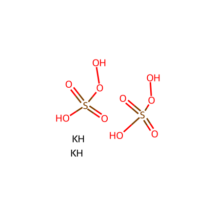 O=S(=O)(O)OO.O=S(=O)(O)OO.[KH].[KH]